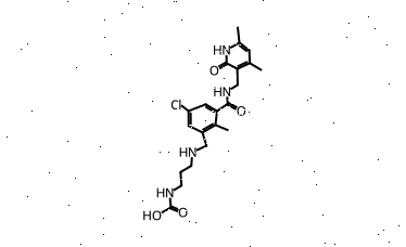 Cc1cc(C)c(CNC(=O)c2cc(Cl)cc(CNCCCNC(=O)O)c2C)c(=O)[nH]1